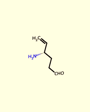 C=C[C@@H](N)CCC=O